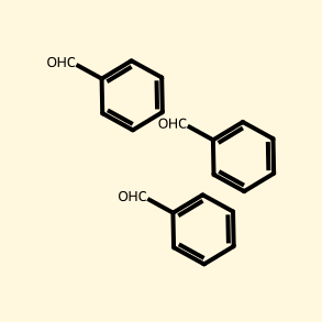 O=Cc1ccccc1.O=Cc1ccccc1.O=Cc1ccccc1